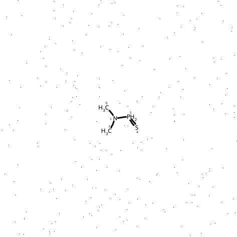 CN(C)[PH2]=S